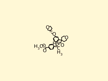 COC(=O)c1ccc([C@H](C)NC(=O)C2(c3cccc(OC[C@H]4CCOC4)c3)CCOCC2)cc1